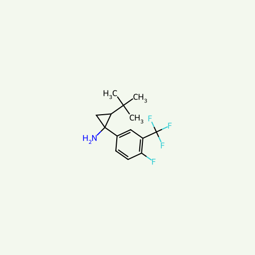 CC(C)(C)C1CC1(N)c1ccc(F)c(C(F)(F)F)c1